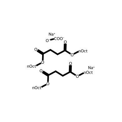 CCCCCCCCOC(=O)CCC(=O)OCCCCCCCC.CCCCCCCCOC(=O)CCC(=O)OCCCCCCCC.O=C([O-])[O-].[Na+].[Na+]